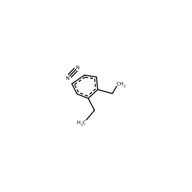 CCc1ccccc1CC.N#N